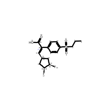 CCCS(=O)(=O)c1ccc(/C(=C\[C@H]2C[C@@H](F)[C@@H](F)C2)C(=O)O)cc1